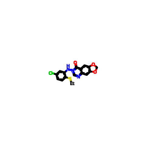 CCSc1ccc(Cl)cc1Nn1cnc2cc3c(cc2c1=O)OCO3